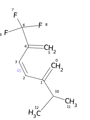 C=C(/C=C\C(=C)C(F)(F)F)C(C)C